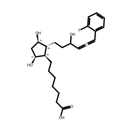 O=C(O)CCCCCC[C@@H]1[C@@H](CCC(O)C=C=Cc2ccccc2F)[C@H](O)C[C@@H]1O